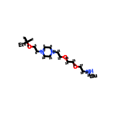 CCC(C)(C)OCCN1CCN(CCOCCOCCNC(C)(C)C)CC1